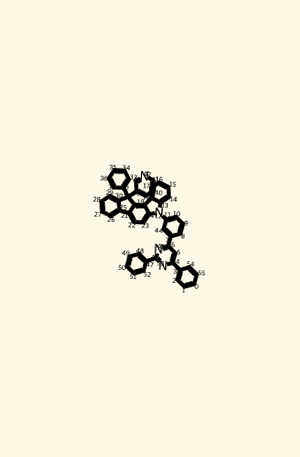 c1ccc(-c2cc(-c3cccc(-n4c5ccccc5c5c6c(ccc54)-c4ccccc4C6(c4ccccc4)c4cccnc4)c3)nc(-c3ccccc3)n2)cc1